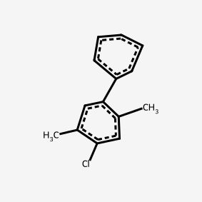 Cc1cc(-c2ccccc2)c(C)cc1Cl